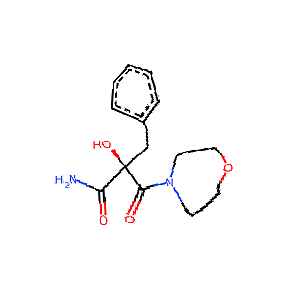 NC(=O)[C@](O)(Cc1ccccc1)C(=O)N1CCOCC1